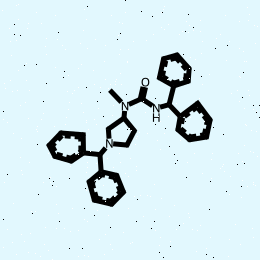 CN(C(=O)NC(c1ccccc1)c1ccccc1)C1CCN(C(c2ccccc2)c2ccccc2)C1